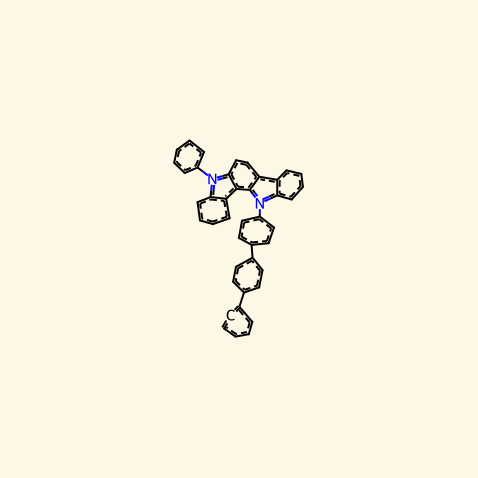 c1ccc(-c2ccc(-c3ccc(-n4c5ccccc5c5ccc6c(c7ccccc7n6-c6ccccc6)c54)cc3)cc2)cc1